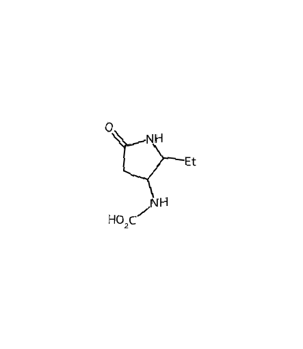 CCC1NC(=O)CC1NC(=O)O